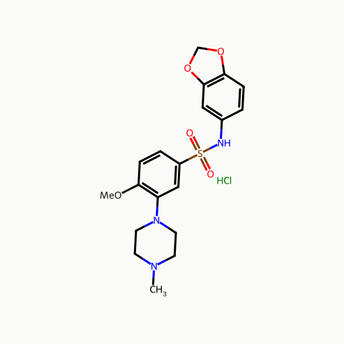 COc1ccc(S(=O)(=O)Nc2ccc3c(c2)OCO3)cc1N1CCN(C)CC1.Cl